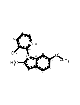 COc1ccc2cc(C)n(-c3ncccc3Cl)c2c1